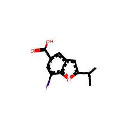 CC(C)c1cc2cc(C(=O)O)cc(I)c2o1